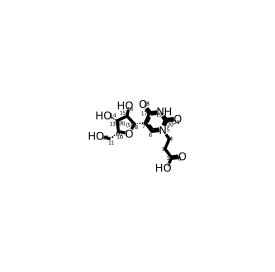 O=C(O)CCn1cc([C@@H]2O[C@H](CO)[C@H](O)C2O)c(=O)[nH]c1=O